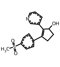 CS(=O)(=O)c1ccc(C2=C(c3cccnc3)C(O)CC2)cc1